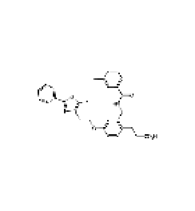 Cc1cccc(C(=O)NCc2cc(OCCc3nc(-c4ccccc4)oc3C)ccc2CCC(=O)O)c1